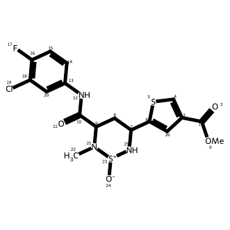 COC(=O)c1csc(C2CC(C(=O)Nc3ccc(F)c(Cl)c3)N(C)[S+]([O-])N2)c1